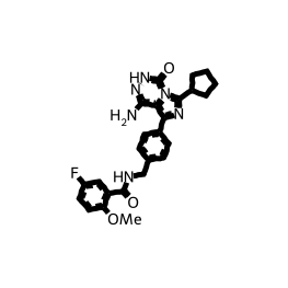 COc1ccc(F)cc1C(=O)NCc1ccc(-c2nc(C3CCCC3)n3c(=O)[nH]nc(N)c23)cc1